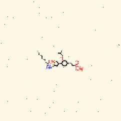 CCCCCCC(=O)N(C)Cc1cc(-c2ccc(/C=C/C(=O)O)cc2OCC(C)C)cs1